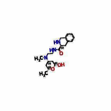 C[C@@H]1C[C@H](N(C)CCNC(=O)[C@@H]2Cc3ccccc3CN2)C[C@H](O)O1